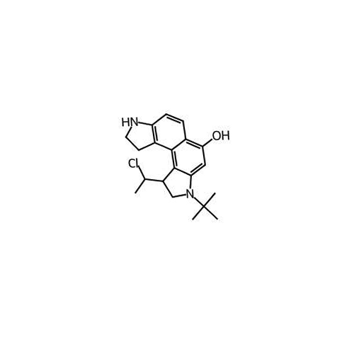 CC(Cl)C1CN(C(C)(C)C)c2cc(O)c3ccc4c(c3c21)CCN4